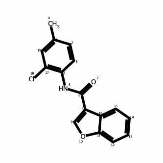 Cc1ccc(NC(=O)c2coc3ccccc23)c(Cl)c1